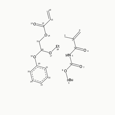 C=C(C)C(=O)NC(=O)OCCCC.C=CC(=O)OCC(OCC)Oc1ccccc1